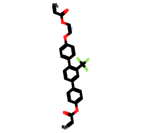 C=CC(=O)O/C=C\Oc1ccc(-c2ccc(-c3ccc(OC(=O)C=C)cc3)cc2C(F)(F)F)cc1